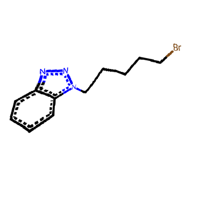 BrCCCCCn1nnc2ccccc21